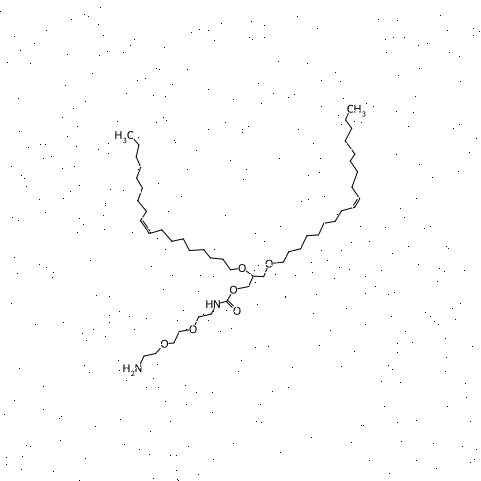 CCCCCCCC/C=C\CCCCCCCCOCC(COC(=O)NCCOCCOCCN)OCCCCCCCC/C=C\CCCCCCCC